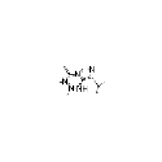 C=C(C)c1ncn2c(=C)n(C)n(C)[nH]c12